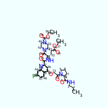 CCCNC(=O)[C@@H]1CCCN1C(=O)COc1cc(C(=O)N[C@@H](CCC(=O)OCC)C(=O)N2CCN(C(=O)OCC)CC2)nc2cc(F)ccc12